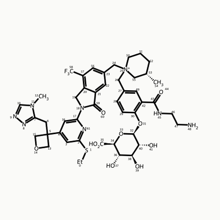 CCSc1cc(C2(Cc3nncn3C)COC2)cc(N2Cc3c(cc(C[N+]4(Cc5ccc(O[C@@H]6O[C@H](C(=O)O)[C@@H](O)[C@H](O)[C@H]6O)c(C(=O)NCCN)c5)CCC[C@H](C)C4)cc3C(F)(F)F)C2=O)n1